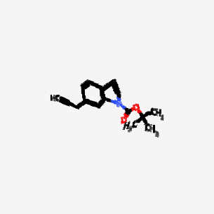 C#CCc1ccc2ccn(C(=O)OC(C)(C)C)c2c1